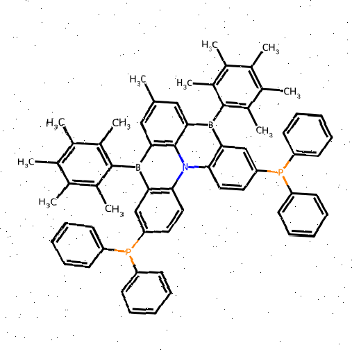 Cc1cc2c3c(c1)B(c1c(C)c(C)c(C)c(C)c1C)c1cc(P(c4ccccc4)c4ccccc4)ccc1N3c1ccc(P(c3ccccc3)c3ccccc3)cc1B2c1c(C)c(C)c(C)c(C)c1C